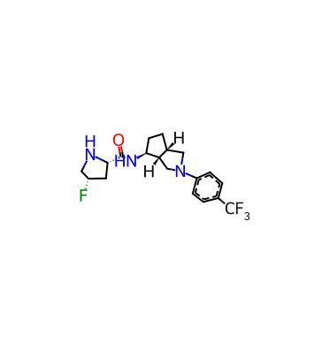 O=C(N[C@H]1CC[C@@H]2CN(c3ccc(C(F)(F)F)cc3)C[C@@H]21)[C@@H]1C[C@H](F)CN1